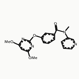 COc1cc(OC)nc(Oc2cccc(C(=O)N(C)c3cccnc3)c2)n1